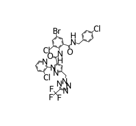 O=C(NCc1ccc(Cl)cc1)c1cc(Br)cc(Cl)c1NC(=O)c1cc(Cn2nnc(C(F)(F)F)n2)nn1-c1ncccc1Cl